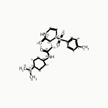 Cc1ccc(S(=O)(=O)N2C=CNC(=O)[C@H]2CC(=O)NC2CCC(N(C)C)CC2)cc1